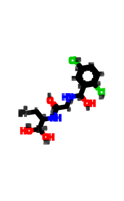 CC(C)CC(NC(=O)CNC(O)c1cc(Cl)ccc1Cl)B(O)O